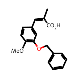 COc1ccc(/C=C(/C)C(=O)O)cc1OCc1ccccc1